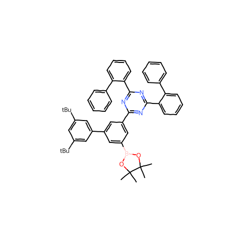 CC(C)(C)c1cc(-c2cc(B3OC(C)(C)C(C)(C)O3)cc(-c3nc(-c4ccccc4-c4ccccc4)nc(-c4ccccc4-c4ccccc4)n3)c2)cc(C(C)(C)C)c1